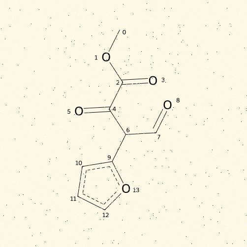 COC(=O)C(=O)C(C=O)c1ccco1